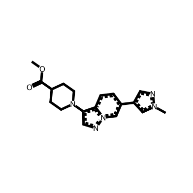 COC(=O)C1CCN(c2cnn3cc(-c4cnn(C)c4)ccc23)CC1